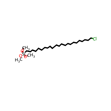 CO[Si](CCCCCCCCCCCCCCCCCCCCCCCCl)(OC)OC